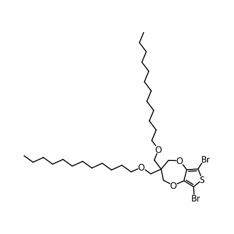 CCCCCCCCCCCCOCC1(COCCCCCCCCCCCC)COc2c(Br)sc(Br)c2OC1